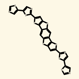 c1ncc(-c2cnc(-c3cc4sc5cc6c(cc5c4s3)sc3cc(-c4ncc(-c5cncs5)s4)sc36)s2)s1